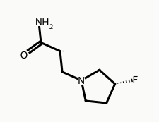 NC(=O)[CH]CN1CC[C@@H](F)C1